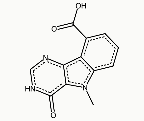 Cn1c2cccc(C(=O)O)c2c2nc[nH]c(=O)c21